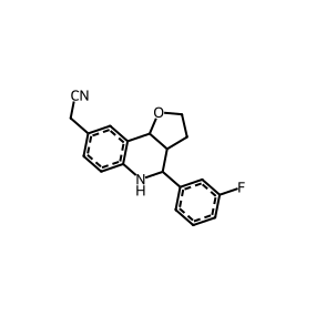 N#CCc1ccc2c(c1)C1OCCC1C(c1cccc(F)c1)N2